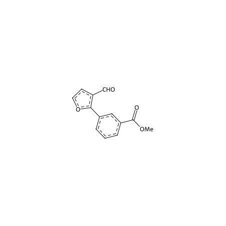 COC(=O)c1cccc(-c2occc2C=O)c1